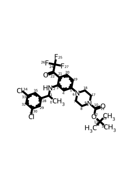 CC(Nc1cc(N2CCN(C(=O)OC(C)(C)C)CC2)ccc1C(=O)C(F)(F)F)c1cc(Cl)cc(Cl)c1